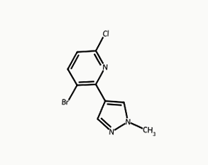 Cn1cc(-c2nc(Cl)ccc2Br)cn1